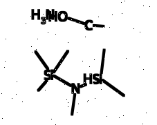 CCO.CN([SiH](C)C)[Si](C)(C)C.N